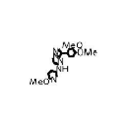 COc1ccc(-c2cnn3ccc(Nc4ccc(OC)nc4)nc23)c(OC)c1